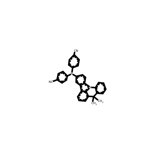 CC1(C)c2ccccc2-n2c3ccc(N(c4ccc(C#N)cc4)c4ccc(C#N)cc4)cc3c3cccc1c32